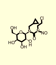 O=NN(CCCl)C(=O)N(CC1CC1)[C@@H]1O[C@H](CO)[C@H](O)[C@H](O)[C@H]1O